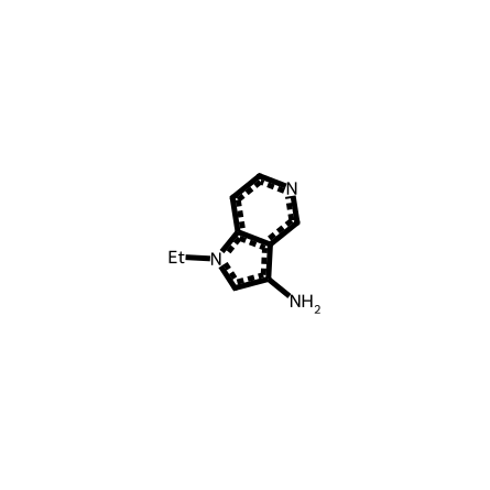 CCn1cc(N)c2cnccc21